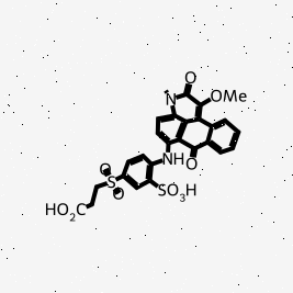 COc1c2c3c(c(Nc4ccc(S(=O)(=O)CCC(=O)O)cc4S(=O)(=O)O)ccc3n(C)c1=O)C(=O)c1ccccc1-2